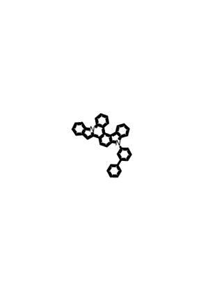 c1ccc(-c2cccc(-n3c4ccccc4c4c5c6ccccc6n6c7ccccc7cc6c5ccc43)c2)cc1